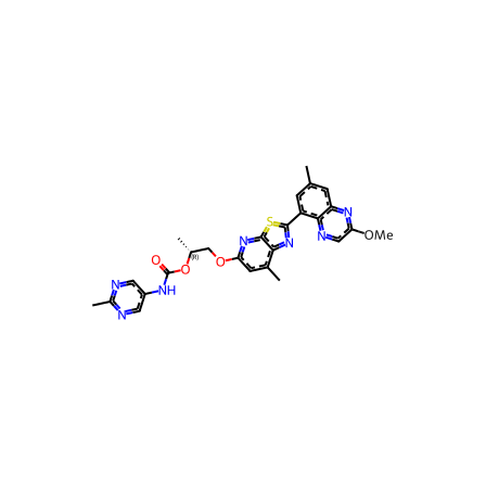 COc1cnc2c(-c3nc4c(C)cc(OC[C@@H](C)OC(=O)Nc5cnc(C)nc5)nc4s3)cc(C)cc2n1